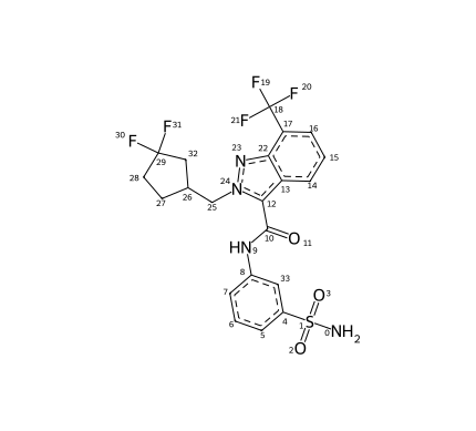 NS(=O)(=O)c1cccc(NC(=O)c2c3cccc(C(F)(F)F)c3nn2CC2CCC(F)(F)C2)c1